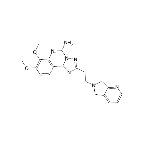 COc1ccc2c(nc(N)n3nc(CCN4Cc5cccnc5C4)nc23)c1OC